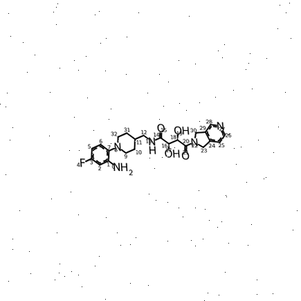 Nc1cc(F)ccc1N1CCC(CNC(=O)[C@H](O)[C@@H](O)C(=O)N2Cc3ccncc3C2)CC1